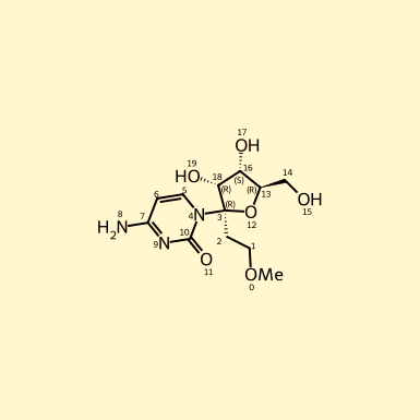 COCC[C@@]1(n2ccc(N)nc2=O)O[C@H](CO)[C@@H](O)[C@H]1O